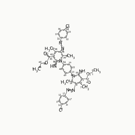 CCOC(=O)c1c(C)c(N=Nc2ccc(Cl)cc2)c(C)n(-c2ccc(-n3c(C)c(N=Nc4ccc(Cl)cc4)c(C)c(C(=O)OCC)c3=N)cc2)c1=N